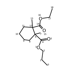 CCCOC(=O)C1(C)CCCCC1(C)C(=O)OCC